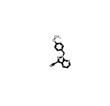 COc1ccc(Cn2nc(C#N)c3cccnc32)cc1